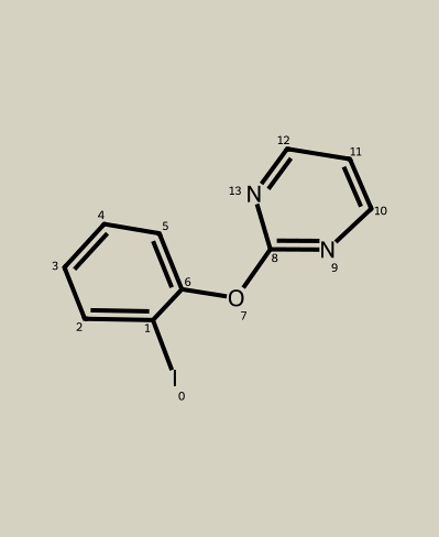 Ic1ccccc1Oc1ncccn1